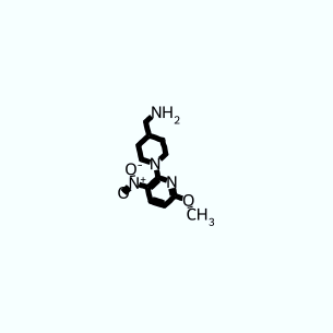 COc1ccc([N+](=O)[O-])c(N2CCC(CN)CC2)n1